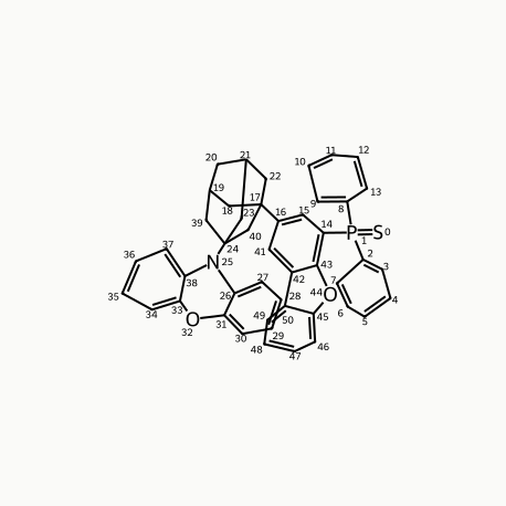 S=P(c1ccccc1)(c1ccccc1)c1cc(C23CC4CC(C2)CC(N2c5ccccc5Oc5ccccc52)(C4)C3)cc2c1oc1ccccc12